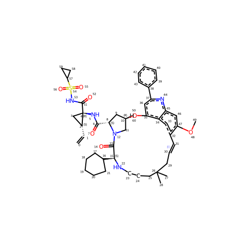 C=C[C@@H]1C[C@]1(NC(=O)[C@@H]1C[C@@H]2CN1C(=O)[C@H](C1CCCCC1)NCCCC(C)(C)C/C=C/c1cc3c(cc(-c4ccccc4)nc3cc1OC)O2)C(=O)NS(=O)(=O)C1CC1